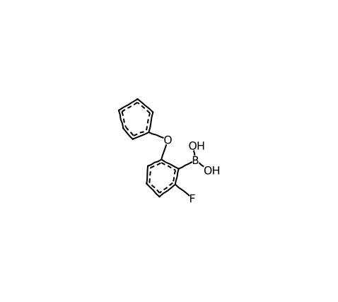 OB(O)c1c(F)cccc1Oc1ccccc1